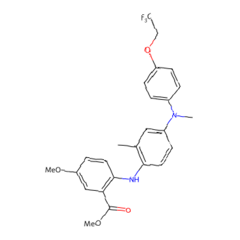 COC(=O)c1cc(OC)ccc1Nc1ccc(N(C)c2ccc(OCC(F)(F)F)cc2)cc1C